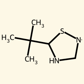 CC(C)(C)C1NC[N]S1